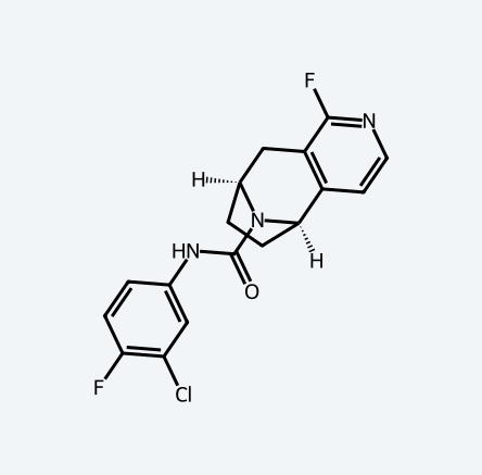 O=C(Nc1ccc(F)c(Cl)c1)N1[C@H]2CC[C@@H]1c1ccnc(F)c1C2